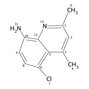 Cc1cc(C)c2c(Cl)ccc(N)c2n1